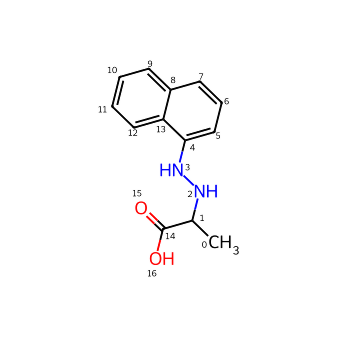 CC(NNc1cccc2ccccc12)C(=O)O